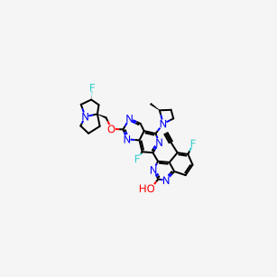 C#Cc1c(F)ccc2nc(O)nc(-c3nc(N4CC[C@@H]4C)c4cnc(OC[C@@]56CCCN5C[C@H](F)C6)nc4c3F)c12